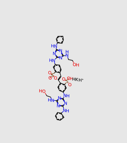 O=S(=O)([O-])c1cc(Nc2nc(NCCO)nc(Nc3ccccc3)n2)ccc1C=Cc1ccc(Nc2nc(NCCO)nc(Nc3ccccc3)n2)cc1S(=O)(=O)O.[H+].[KH]